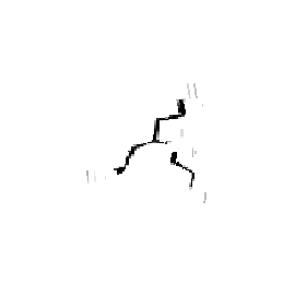 C=CCC(CC=C)NCCO.Cl